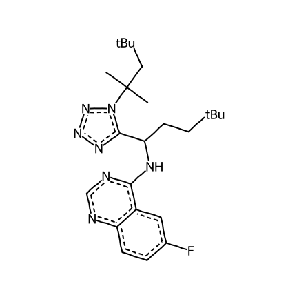 CC(C)(C)CCC(Nc1ncnc2ccc(F)cc12)c1nnnn1C(C)(C)CC(C)(C)C